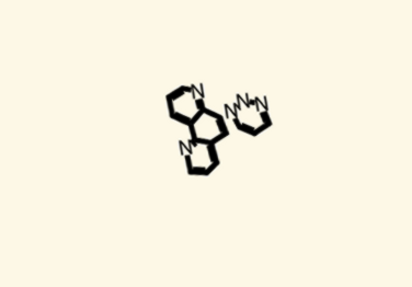 c1cnc2c(c1)ccc1ncccc12.c1cnnnc1